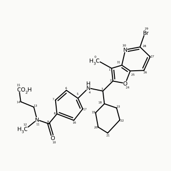 Cc1c(C(Nc2ccc(C(=O)N(C)CCC(=O)O)cc2)C2CCCCC2)oc2ccc(Br)nc12